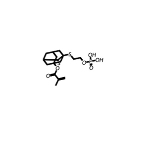 C=C(C)C(=O)OC12CC3CC(C1)C(=S)C(SCCOP(=O)(O)O)(C3)C2